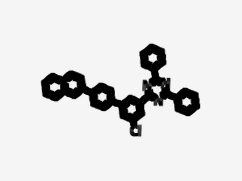 Clc1cc(-c2ccc(-c3ccc4ccccc4c3)cc2)cc(-c2nc(-c3ccccc3)nc(-c3ccccc3)n2)c1